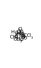 CCC(C)(NC(=O)c1cc(Cl)c(C)c(Cl)c1)C(=O)CCl.O=C1C2CC=CCC2C(=O)N1SC(Cl)(Cl)Cl